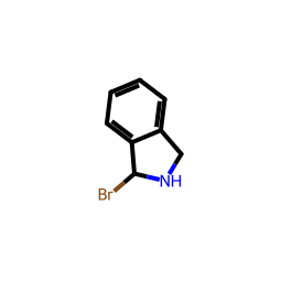 BrC1NCc2ccccc21